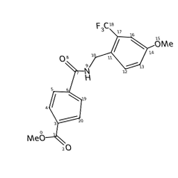 COC(=O)c1ccc(C(=O)NCc2ccc(OC)cc2C(F)(F)F)cc1